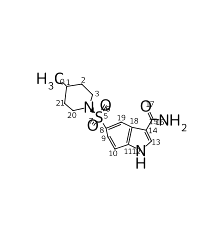 CC1CCN(S(=O)(=O)c2ccc3[nH]cc(C(N)=O)c3c2)CC1